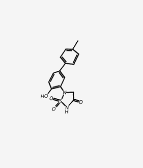 Cc1ccc(-c2ccc(O)c(N3CC(=O)NS3(=O)=O)c2)cc1